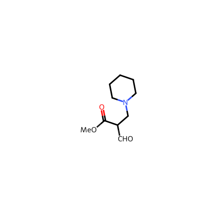 COC(=O)C(C=O)CN1CCCCC1